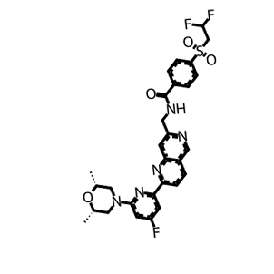 C[C@@H]1CN(c2cc(F)cc(-c3ccc4cnc(CNC(=O)c5ccc(S(=O)(=O)CC(F)F)cc5)cc4n3)n2)C[C@H](C)O1